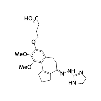 COc1c(OCCCC(=O)O)cc2c(c1OC)C1=C(CCC1)C(=NNC1=NCCN1)CC2